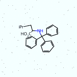 CC(C)CC(NC(c1ccccc1)(c1ccccc1)c1ccccc1)C(=O)O